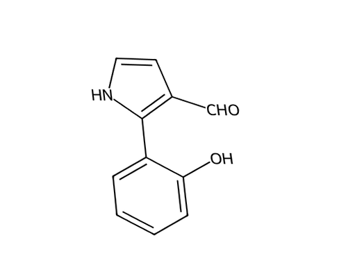 O=Cc1cc[nH]c1-c1ccccc1O